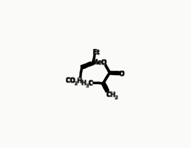 C=C(C)C(=O)OC.CCC=CC(=O)O